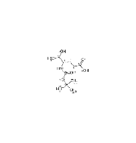 CC(O)[C@H](CCC(=O)O)NC(=O)OC(C)(C)C